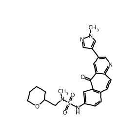 CN(CC1CCCCO1)S(=O)(=O)Nc1ccc2ccc3ncc(-c4cnn(C)c4)cc3c(=O)c2c1